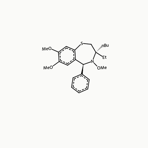 CCCC[C@@]1(CC)CSc2cc(OC)c(OC)cc2[C@H](c2ccccc2)N1OC